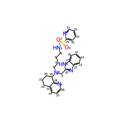 O=S(=O)(NCCCCN(Cc1nc2ccccc2[nH]1)C1CCCc2cccnc21)c1ccccn1